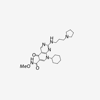 CONC(=O)c1cn(C2CCCCC2)c2nc(NCCCN3CCCC3)ncc2c1=O